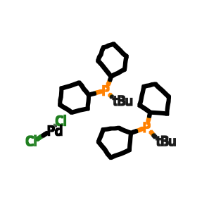 CC(C)(C)P(C1CCCCC1)C1CCCCC1.CC(C)(C)P(C1CCCCC1)C1CCCCC1.[Cl][Pd][Cl]